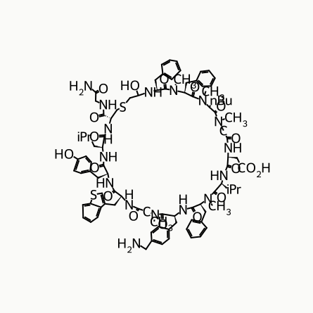 CCCC[C@H]1C(=O)N(C)CC(=O)N[C@@H](CC(=O)O)C(=O)N[C@@H](C(C)C)C(=O)N(C)[C@@H](Cc2ccccc2)C(=O)N[C@@H](Cc2ccc(CN)cc2)C(=O)N(C)CC(=O)N[C@@H](Cc2csc3ccccc23)C(=O)N[C@@H](Cc2ccc(O)cc2)C(=O)N[C@@H](CC(C)C)C(=O)N[C@H](C(=O)NCC(N)=O)CSCC(O)N[C@@H](Cc2ccccc2)C(=O)N(C)[C@@H](Cc2ccccc2)C(=O)N1C